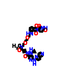 CN(CCOCCOCCNc1cccc2c1C(=O)N(C1CCC(=O)NC1=O)C2=O)C(=O)C1CC(NC(=O)c2cnc(Nc3ccc4cnccc4n3)cc2NC2CC2)C1